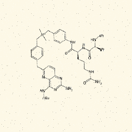 CCCCNc1nc(N)nc2ccc(Cc3ccc(C[N+](C)(C)Cc4ccc(NC(=O)[C@H](CCCNC(N)=O)NC(=O)[C@@H](NC(C)C)C(C)C)cc4)cc3)nc12